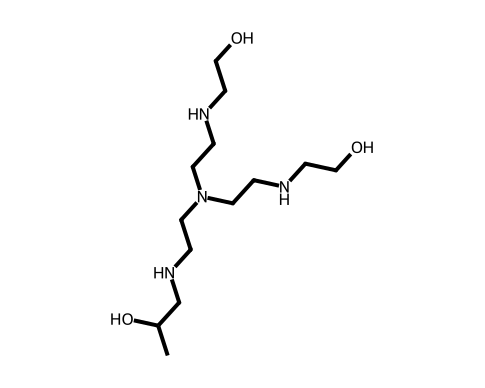 CC(O)CNCCN(CCNCCO)CCNCCO